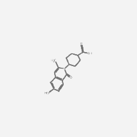 Cc1cc2cc(O)ccc2c(=O)n1C1CCC(C(=O)O)CC1